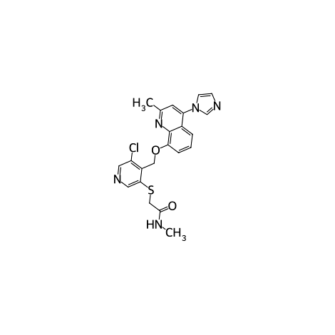 CNC(=O)CSc1cncc(Cl)c1COc1cccc2c(-n3ccnc3)cc(C)nc12